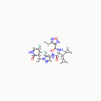 CCc1nonc1C(=O)NC(C(=O)Nc1cnn(C(C)c2cc(F)c[nH]c2=O)c1F)C(C1CC1)C1CC1